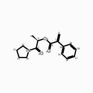 C=C(C(=O)O[C@H](C)C(=O)N1CCCC1)c1ccccc1